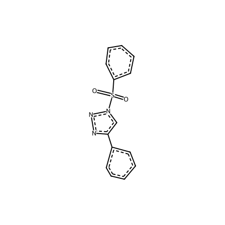 O=S(=O)(c1ccccc1)n1cc(-c2ccccc2)nn1